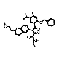 CCNC(=O)c1noc(-c2cc(C(C)C)c(C)cc2OCc2ccccc2)c1-c1ccc2c(c1)CCN(CCOC)C2